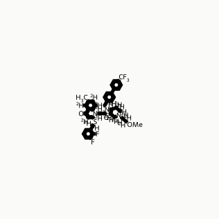 [2H]c1c(C)c([2H])c2c(=O)c([2H])c(SC([2H])([2H])c3cccc(F)c3F)n(C([2H])([2H])C(=O)N(Cc3ccc(-c4ccc(C(F)(F)F)cc4)cc3)C3([2H])C([2H])([2H])C([2H])([2H])N(C([2H])([2H])C([2H])([2H])OC)C([2H])([2H])C3([2H])[2H])c2c1[2H]